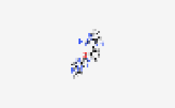 Cc1cn2cc(C(=O)Nc3cccc(CNc4cccnc4N)c3)ncc2n1